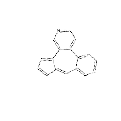 c1cc2cc3ccccc3c3ccncc3c-2c1